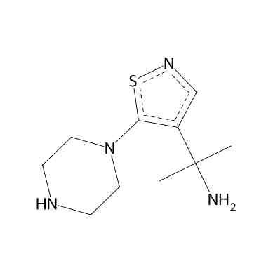 CC(C)(N)c1cnsc1N1CCNCC1